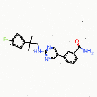 CC(C)(CNc1ncc(-c2cccc(C(N)=O)c2)cn1)c1ccc(F)cc1